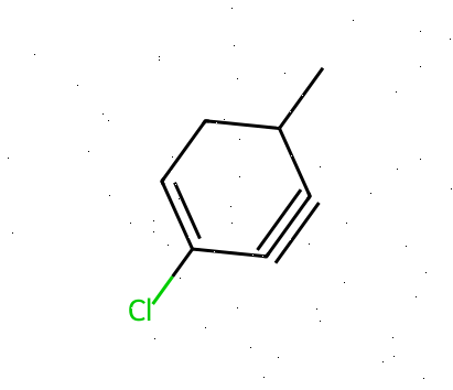 CC1C#CC(Cl)=CC1